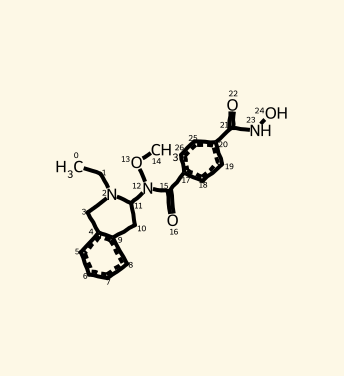 CCN1Cc2ccccc2CC1N(OC)C(=O)c1ccc(C(=O)NO)cc1